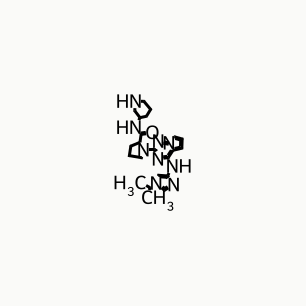 CC(C)n1cnc(Nc2nc(N3CCCC3C(=O)NC3CCCNC3)nn3cccc23)c1